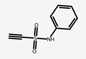 C#CS(=O)(=O)Nc1ccccc1